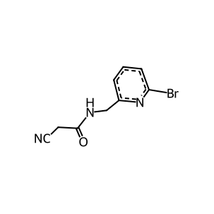 N#CCC(=O)NCc1cccc(Br)n1